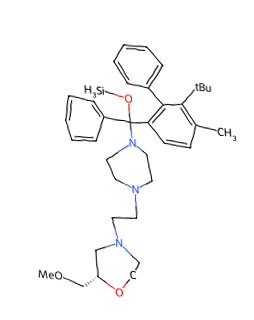 COC[C@@H]1CN(CCN2CCN(C(O[SiH3])(c3ccccc3)c3ccc(C)c(C(C)(C)C)c3-c3ccccc3)CC2)CCO1